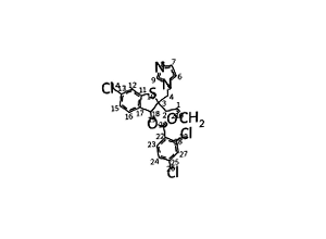 C=CCC1(Cn2ccnc2)Sc2cc(Cl)ccc2C1OC(=O)c1ccc(Cl)cc1Cl